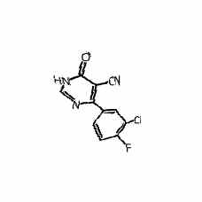 N#Cc1c(-c2ccc(F)c(Cl)c2)nc[nH]c1=O